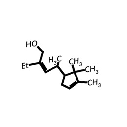 CCC(=CC(C)C1CC=C(C)C1(C)C)CO